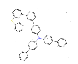 c1ccc(-c2ccc(N(c3ccc(-c4ccccc4)cc3)c3ccc(-c4cccc(-c5cccc6sc7ccccc7c56)c4)cc3)cc2)cc1